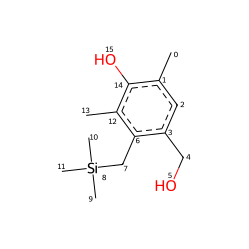 Cc1cc(CO)c(C[Si](C)(C)C)c(C)c1O